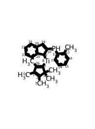 CC1=C(C)C(C)(C)[C]([Ti][CH]2C(Pc3ccccc3C)=Cc3ccccc32)=C1C